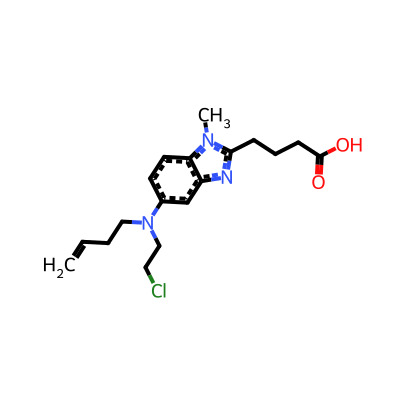 C=CCCN(CCCl)c1ccc2c(c1)nc(CCCC(=O)O)n2C